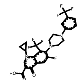 O=C(O)c1cn(C2CC2)c2c(C(F)(F)F)c(N3CCN(c4cccc(C(F)(F)F)c4)CC3)c(F)cc2c1=O